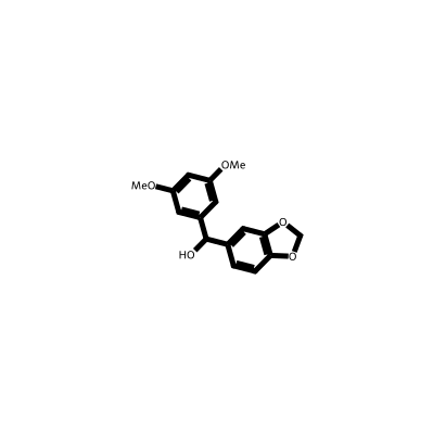 COc1cc(OC)cc(C(O)c2ccc3c(c2)OCO3)c1